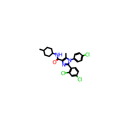 Cc1c(C(=O)NC2CCC(C)CC2)nc(-c2ccc(Cl)cc2Cl)n1-c1ccc(Cl)cc1